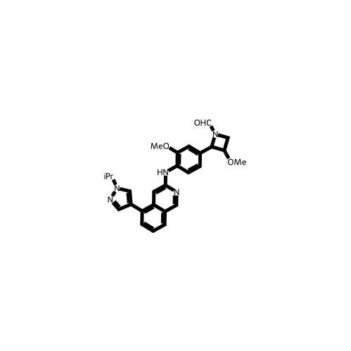 COc1cc(C2C(OC)CN2C=O)ccc1Nc1cc2c(-c3cnn(C(C)C)c3)cccc2cn1